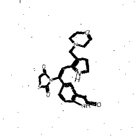 O=C1Cc2cc(C(=Cc3[nH]ccc3CN3CCOCC3)N3C(=O)CSC3=O)ccc2N1